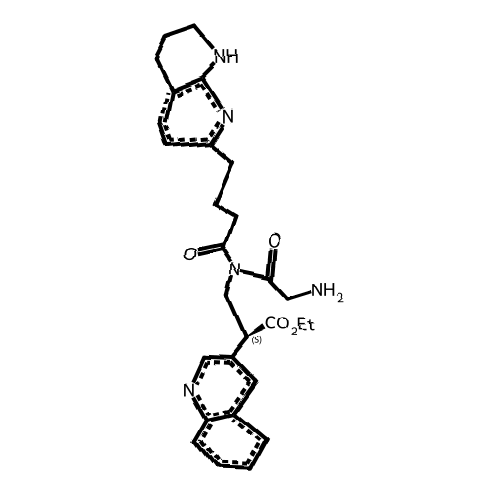 CCOC(=O)[C@H](CN(C(=O)CN)C(=O)CCCc1ccc2c(n1)NCCC2)c1cnc2ccccc2c1